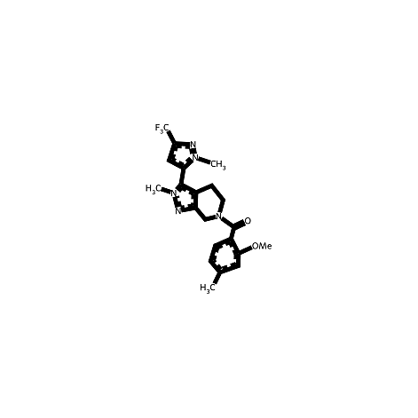 COc1cc(C)ccc1C(=O)N1CCc2c(nn(C)c2-c2cc(C(F)(F)F)nn2C)C1